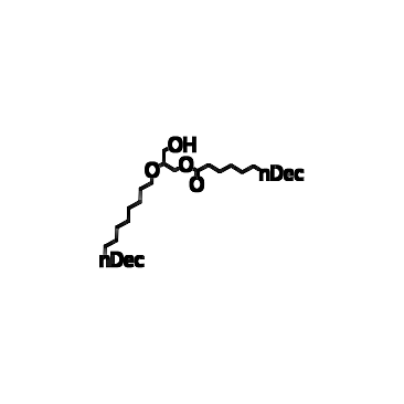 CCCCCCCCCCCCCCCCCCOC(CO)COC(=O)CCCCCCCCCCCCCCC